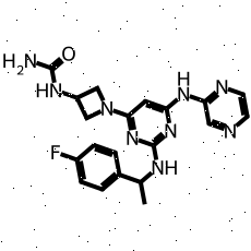 CC(Nc1nc(Nc2cnccn2)cc(N2CC(NC(N)=O)C2)n1)c1ccc(F)cc1